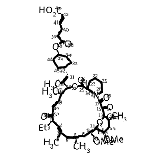 CC[C@@H]1/C=C(\C)C[C@H](C)C[C@H](OC)[C@H]2O[C@@](O)(C(=O)C(=O)N3CCCC[C@H]3C(=O)O[C@H](/C(C)=C/[C@H]3CC[C@H](OC(=O)CC/C=C/C(=O)O)CC3)[C@H](C)/C=C/C1=O)[C@H](C)C[C@@H]2OC